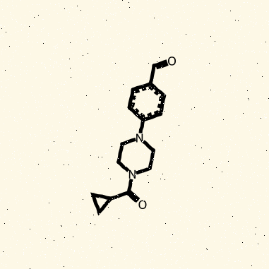 O=Cc1ccc(N2CCN(C(=O)C3CC3)CC2)cc1